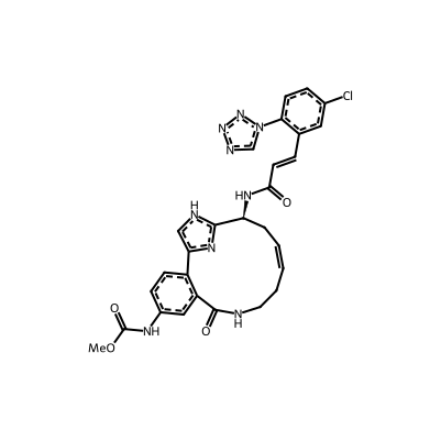 COC(=O)Nc1ccc2c(c1)C(=O)NCC/C=C\C[C@H](NC(=O)/C=C/c1cc(Cl)ccc1-n1cnnn1)c1nc-2c[nH]1